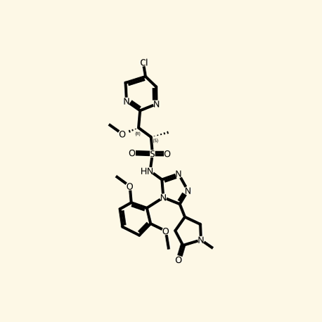 COc1cccc(OC)c1-n1c(NS(=O)(=O)[C@@H](C)[C@H](OC)c2ncc(Cl)cn2)nnc1C1CC(=O)N(C)C1